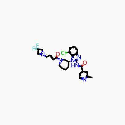 Cc1cc(C(=O)Nc2nc3cccc(Cl)c3n2[C@@H]2CCCCN(C(=O)C=CCN3CC(F)(F)C3)C2)ccn1